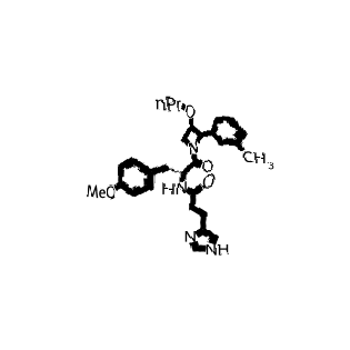 CCCOC1CN(C(=O)[C@@H](Cc2ccc(OC)cc2)NC(=O)CCc2c[nH]cn2)C1c1cccc(C)c1